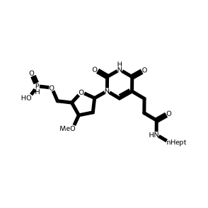 CCCCCCCNC(=O)CCc1cn(C2CC(OC)C(CO[PH](=O)O)O2)c(=O)[nH]c1=O